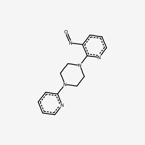 O=Nc1cccnc1N1CCN(c2ccccn2)CC1